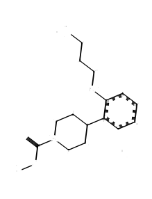 CC(C)(C)OC(=O)N1CCC(c2ccccc2NCCCC(=O)O)CC1.Cl